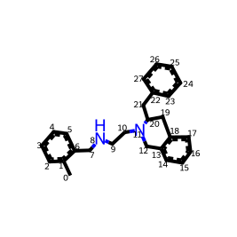 Cc1ccccc1CNCCN1Cc2ccccc2CC1Cc1ccccc1